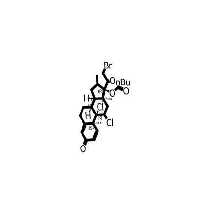 CCCCC(=O)O[C@]1(C(=O)CBr)C(C)C[C@H]2[C@@H]3CCC4=CC(=O)C=C[C@]4(C)[C@@]3(Cl)C(Cl)C[C@@]21C